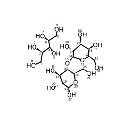 OC[C@@H](O)[C@H](O)[C@@H](O)CO.OC[C@H]1O[C@@H](O[C@H]2[C@H](O)[C@@H](O)[C@H](O)O[C@@H]2CO)[C@H](O)[C@@H](O)[C@H]1O